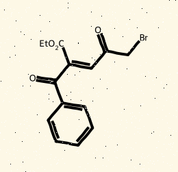 CCOC(=O)C(=CC(=O)CBr)C(=O)c1ccccc1